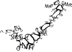 C=C(C)C1CC=C(C=c2c(=O)[nH]c(=Cc3ccc(C(=O)Nc4ccc(CCN5CCc6cc(OC)c(OC)cc6C5)cc4)cc3)c(=O)n2C)CC1